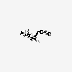 Nc1nc(C#CCC2CCN(C(=O)OC3CCOC3)CC2)nc2c1ncn2[C@@H]1O[C@H](C(=O)NC2CC2)C(O)[C@@H]1O